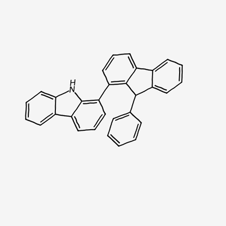 c1ccc(C2c3ccccc3-c3cccc(-c4cccc5c4[nH]c4ccccc45)c32)cc1